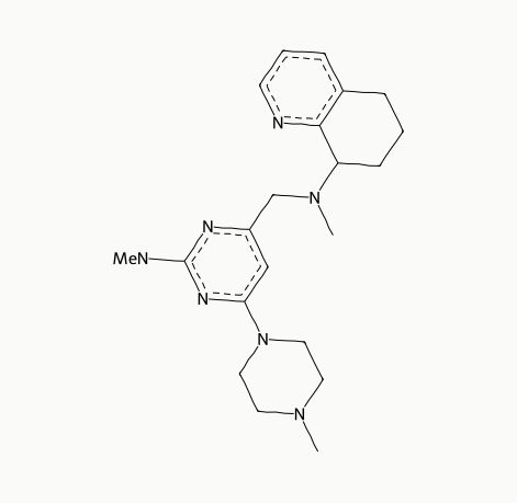 CNc1nc(CN(C)C2CCCc3cccnc32)cc(N2CCN(C)CC2)n1